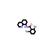 [2H]c1cccc([2H])c1C(=O)Nc1cccc2cccnc12